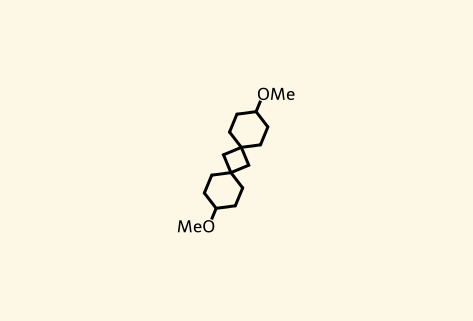 COC1CCC2(CC1)CC1(CCC(OC)CC1)C2